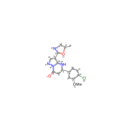 COc1cc(-c2cc(=O)n3ncc(-c4ncc(C)o4)c3[nH]2)ccc1Cl